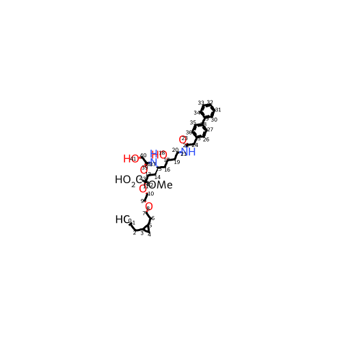 C#CCC1CC1CCOCCOC(CC[C@H](C[C@H](O)CCNC(=O)Cc1ccc(-c2ccccc2)cc1)NC(=O)CO)(OC)C(=O)O